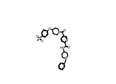 CS(=O)(=O)c1ccc(OC2CCN(C(=O)c3ccc(C(=O)NC4CCN(Cc5ccccc5)CC4)nc3)CC2)cc1